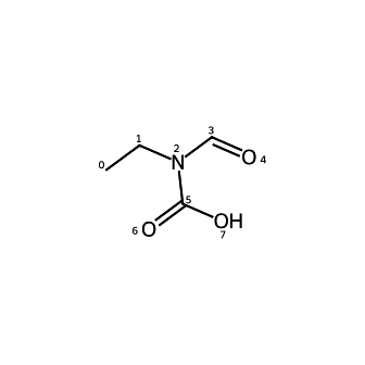 CCN(C=O)C(=O)O